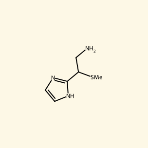 CSC(CN)c1ncc[nH]1